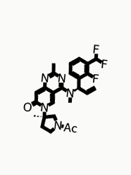 C=C[C@H](c1cccc(C(F)F)c1F)N(C)c1nc(C)nc2cc(=O)n([C@]3(C)CCN(C(C)=O)C3)cc12